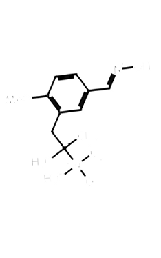 COc1ccc(/C=N/O)cc1CC(C)(C)[Si](C)(C)O